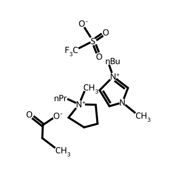 CCC(=O)[O-].CCCC[n+]1ccn(C)c1.CCC[N+]1(C)CCCC1.O=S(=O)([O-])C(F)(F)F